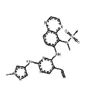 C=Cc1cnc(Nc2cnn(C)c2)nc1Nc1ccc2nccnc2c1N(C)S(C)(=O)=O